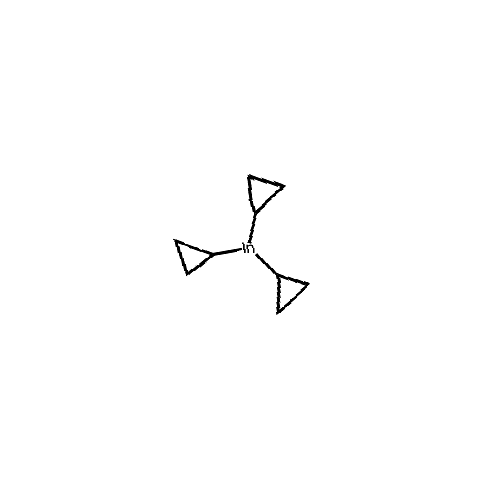 C1C[CH]1[In]([CH]1CC1)[CH]1CC1